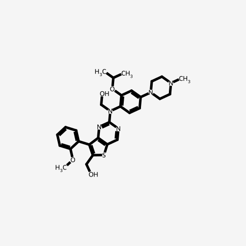 COc1ccccc1-c1c(CO)sc2cnc(N(CO)c3ccc(N4CCN(C)CC4)cc3OC(C)C)nc12